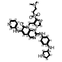 CN(C)CCS(=O)(=O)c1ncsc1Cn1c(=O)c(Nc2cccnc2)cc2cnc(Nc3ccc(NC4CCNC4)cc3)nc21